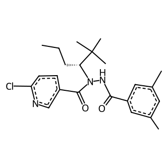 CCC[C@@H](N(NC(=O)c1cc(C)cc(C)c1)C(=O)c1ccc(Cl)nc1)C(C)(C)C